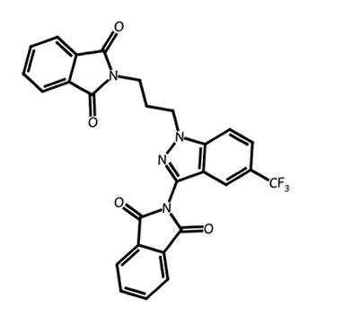 O=C1c2ccccc2C(=O)N1CCCn1nc(N2C(=O)c3ccccc3C2=O)c2cc(C(F)(F)F)ccc21